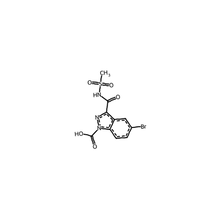 CS(=O)(=O)NC(=O)c1nn(C(=O)O)c2ccc(Br)cc12